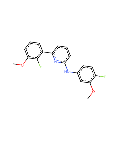 COc1cc(Nc2cccc(-c3cccc(OC)c3F)n2)ccc1F